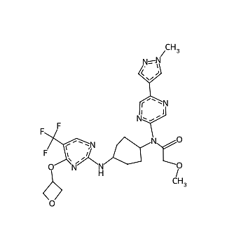 COCC(=O)N(c1cnc(-c2cnn(C)c2)cn1)C1CCC(Nc2ncc(C(F)(F)F)c(OC3COC3)n2)CC1